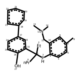 CCCC(CC)(Pc1ccc(C)cc1CN(C)C)c1cc(-c2ccccc2)ccc1O